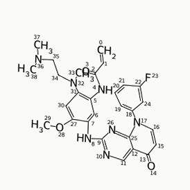 C=CC(=O)Nc1cc(Nc2ncc3c(=O)ccn(-c4cccc(F)c4)c3n2)c(OC)cc1N(C)CCN(C)C